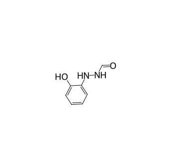 O=CNNc1ccccc1O